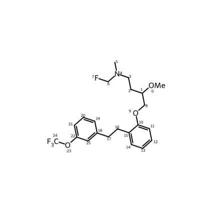 COC(CCN(C)CF)COc1ccccc1CCc1cccc(OC(F)(F)F)c1